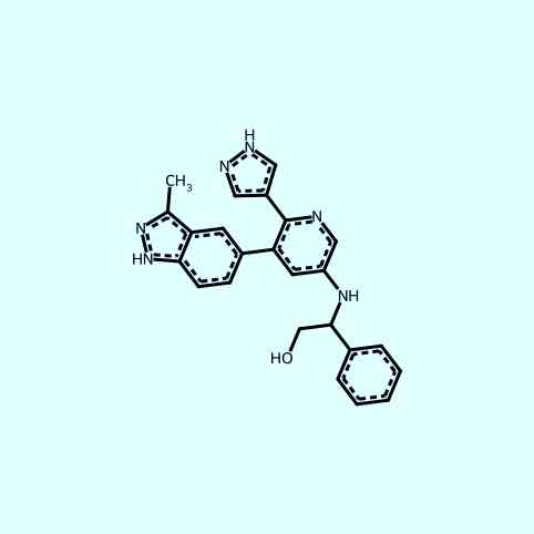 Cc1n[nH]c2ccc(-c3cc(NC(CO)c4ccccc4)cnc3-c3cn[nH]c3)cc12